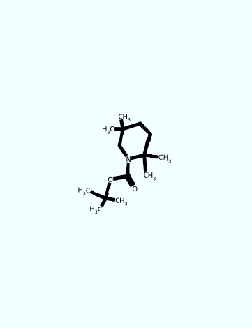 CC1(C)CCC(C)(C)N(C(=O)OC(C)(C)C)C1